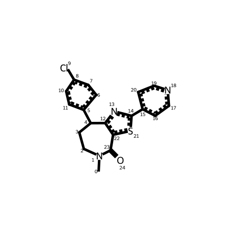 CN1CCC(c2ccc(Cl)cc2)c2nc(-c3ccncc3)sc2C1=O